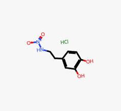 Cl.O=[N+]([O-])NCCc1ccc(O)c(O)c1